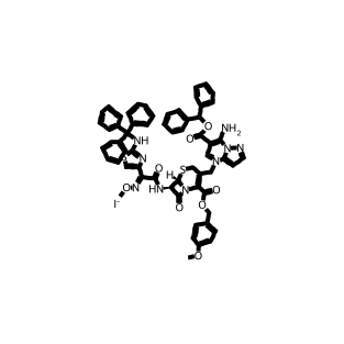 CON=C(C(=O)N[C@@H]1C(=O)N2C(C(=O)OCc3ccc(OC)cc3)=C(C[n+]3cc(C(=O)OC(c4ccccc4)c4ccccc4)c(N)n4nccc43)CS[C@@H]12)c1csc(NC(c2ccccc2)(c2ccccc2)c2ccccc2)n1.[I-]